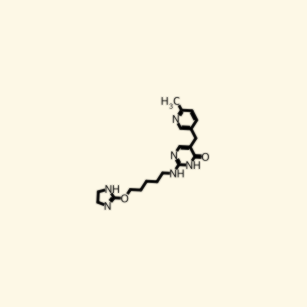 Cc1ccc(Cc2cnc(NCCCCCOC3=NCCN3)[nH]c2=O)cn1